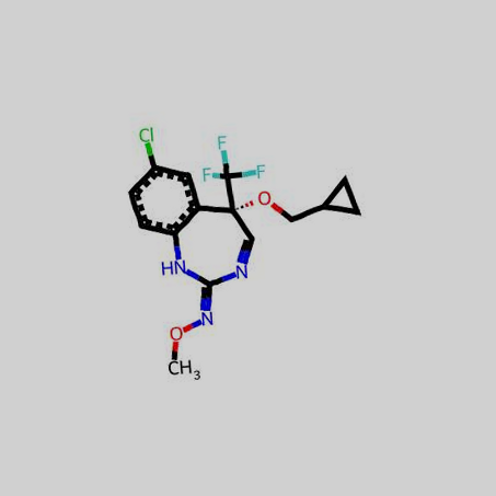 CON=C1N=C[C@](OCC2CC2)(C(F)(F)F)c2cc(Cl)ccc2N1